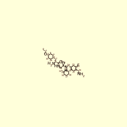 CCOc1ccc(CC(N)C(=O)N[C@@H](Cc2ccccc2)C(=O)NCc2ccc(CN)c(F)c2)cc1